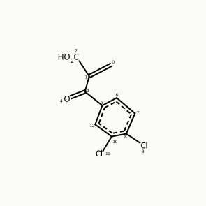 C=C(C(=O)O)C(=O)c1ccc(Cl)c(Cl)c1